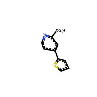 O=C(O)c1cc(-c2cccs2)ccn1